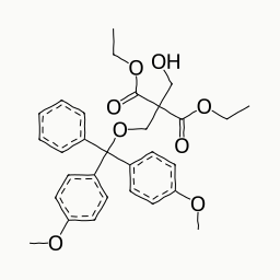 CCOC(=O)C(CO)(COC(c1ccccc1)(c1ccc(OC)cc1)c1ccc(OC)cc1)C(=O)OCC